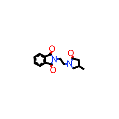 CC1CC(=O)N(CCN2C(=O)c3ccccc3C2=O)C1